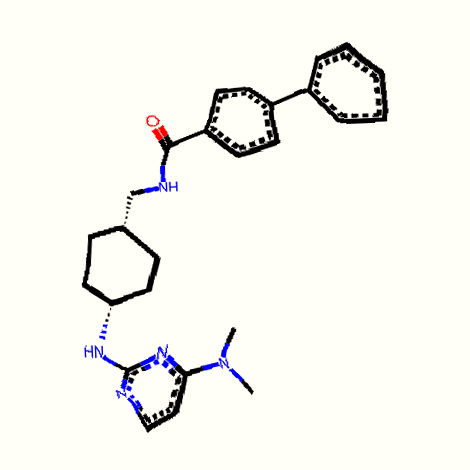 CN(C)c1ccnc(N[C@H]2CC[C@@H](CNC(=O)c3ccc(-c4ccccc4)cc3)CC2)n1